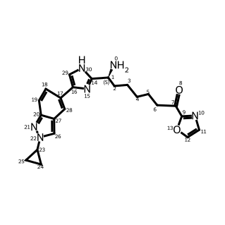 N[C@@H](CCCCCC(=O)c1ncco1)c1nc(-c2ccc3nn(C4CC4)cc3c2)c[nH]1